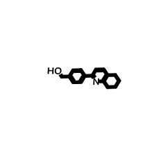 OCc1ccc(-c2ccc3c(n2)CCCC3)cc1